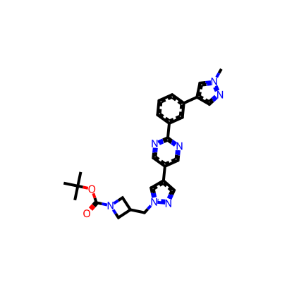 Cn1cc(-c2cccc(-c3ncc(-c4cnn(CC5CN(C(=O)OC(C)(C)C)C5)c4)cn3)c2)cn1